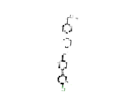 CCc1ccc([C@H]2CC[C@H](CCc3ccc(-c4ccc(Cl)c(F)c4)cc3)CC2)cc1